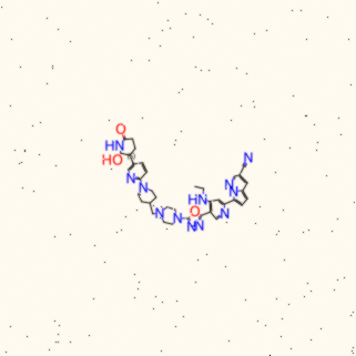 CCNc1cc(-c2ccc3cc(C#N)cnn23)ncc1-c1nnc(N2CCN(CC3CCN(c4ccc([C@@H]5CCC(=O)NC5O)cn4)CC3)CC2)o1